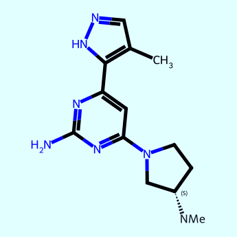 CN[C@H]1CCN(c2cc(-c3[nH]ncc3C)nc(N)n2)C1